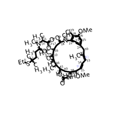 CCSC(C)(C)CCC(=O)N(C)[C@@H](C)C(=O)O[C@H]1CC(=O)N(C)c2cc(cc(OC)c2Cl)C/C(C)=C/C=C/[C@@H](OC)[C@@]2(O)C[C@H](OC(=O)N2)[C@@H](C)[C@@H]2O[C@@]12C